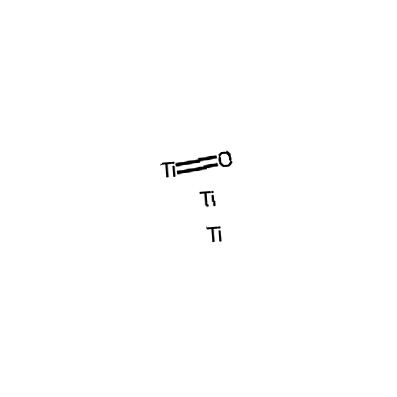 [O]=[Ti].[Ti].[Ti]